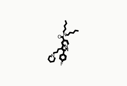 CCCCCN(CCCCC)C(=O)c1ccn2nc(-c3ccc(F)cc3)c(CCCN3CCCCC3)c2c1